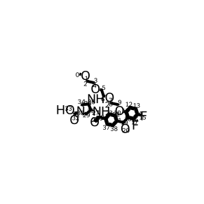 COCCOCCOCCOc1ccc(F)c(F)c1C(=O)c1ccc(C(=O)N[C@@H]2CN(C(=O)O)C[C@H]2N)cc1